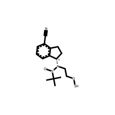 CC(C)(C)[S+]([O-])N(CCOS)[C@H]1CCc2c(C#N)cccc21